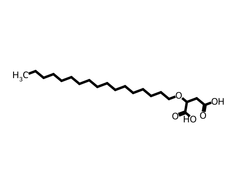 CCCCCCCCCCCCCCCCCOC(CC(=O)O)C(=O)O